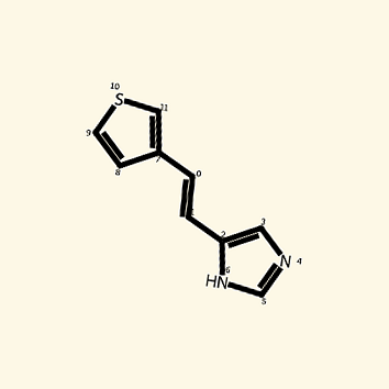 C(=Cc1cnc[nH]1)c1ccsc1